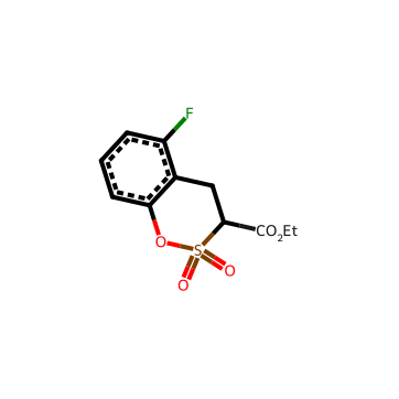 CCOC(=O)C1Cc2c(F)cccc2OS1(=O)=O